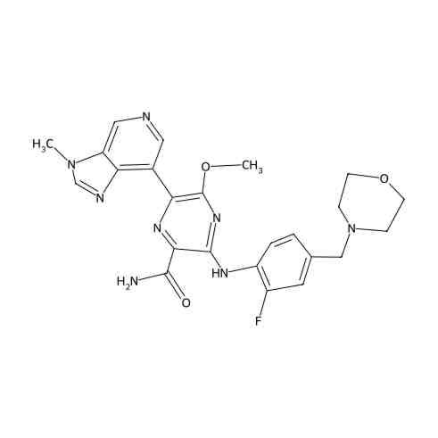 COc1nc(Nc2ccc(CN3CCOCC3)cc2F)c(C(N)=O)nc1-c1cncc2c1ncn2C